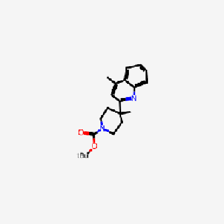 Cc1cc(C2(C)CCN(C(=O)OC(C)(C)C)CC2)nc2ccccc12